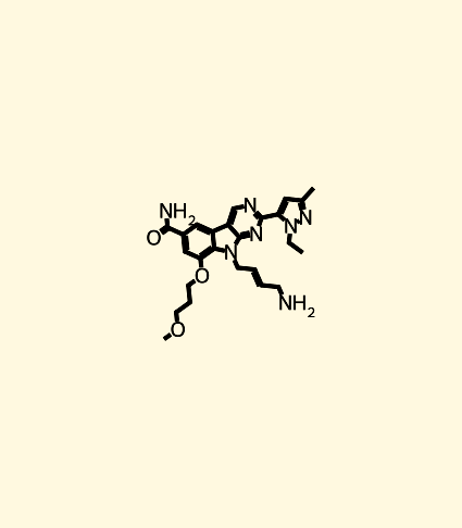 CCn1nc(C)cc1-c1ncc2c3cc(C(N)=O)cc(OCCCOC)c3n(C/C=C/CN)c2n1